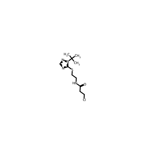 CC(C)(C)n1ncnc1SCCNC(=O)CCCl